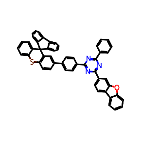 c1ccc(-c2nc(-c3ccc(-c4ccc5c(c4)C4(c6ccccc6S5)c5ccccc5-c5ccccc54)cc3)nc(-c3ccc4c(c3)oc3ccccc34)n2)cc1